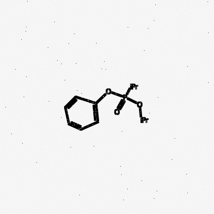 CC(C)OP(=O)(Oc1ccccc1)C(C)C